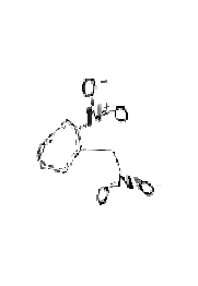 O=[N+]([O-])Cc1ccccc1[N+](=O)[O-]